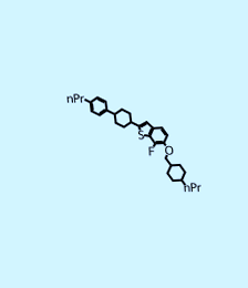 CCCc1ccc(C2CCC(c3cc4ccc(OCC5CCC(CCC)CC5)c(F)c4s3)CC2)cc1